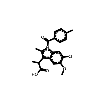 COc1cc2c(C(C)C(=O)O)c(C)n(C(=O)c3ccc(C)cc3)c2cc1Cl